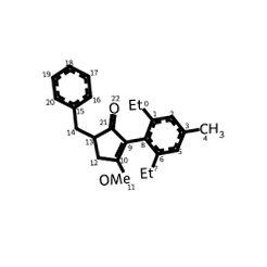 CCc1cc(C)cc(CC)c1C1=C(OC)CC(Cc2ccccc2)C1=O